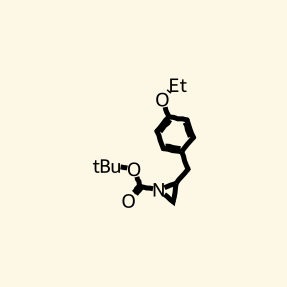 CCOc1ccc(CC2CN2C(=O)OC(C)(C)C)cc1